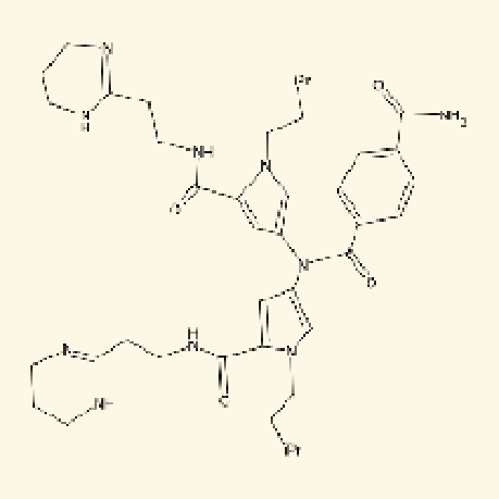 CC(C)CCn1cc(N(C(=O)c2ccc(C(N)=O)cc2)c2cc(C(=O)NCCC3=NCCCN3)n(CCC(C)C)c2)cc1C(=O)NCCC1=NCCCN1